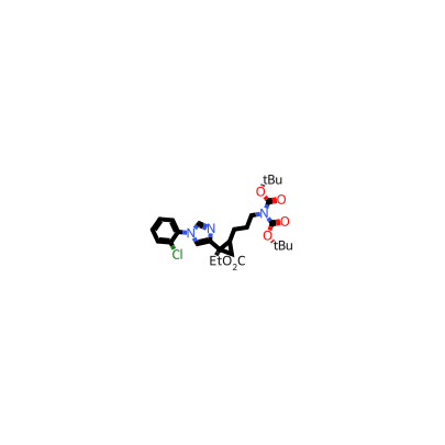 CCOC(=O)C1(c2cn(-c3ccccc3Cl)cn2)CC1CCCN(C(=O)OC(C)(C)C)C(=O)OC(C)(C)C